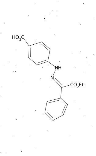 CCOC(=O)/C(=N\Nc1ccc(C(=O)O)cc1)c1ccccc1